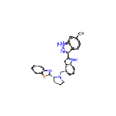 N#Cc1ccc2c(-c3cc4c(CN5CCCC5c5nc6ccccc6s5)cccc4[nH]3)n[nH]c2c1